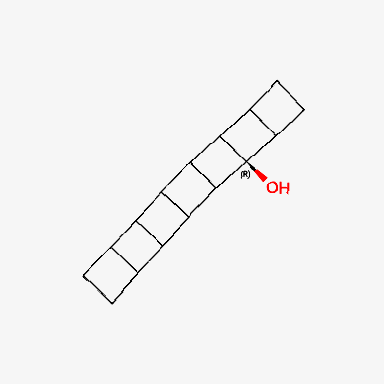 O[C@]12C3CCC3C1C1C3C4C5CCC5C4C3C12